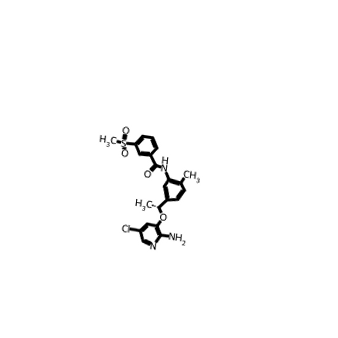 Cc1ccc([C@@H](C)Oc2cc(Cl)cnc2N)cc1NC(=O)c1cccc(S(C)(=O)=O)c1